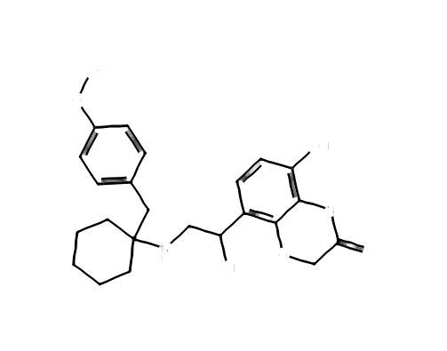 COc1ccc(CC2(NCC(O)c3ccc(O)c4c3OCC(=O)N4)CCCCC2)cc1